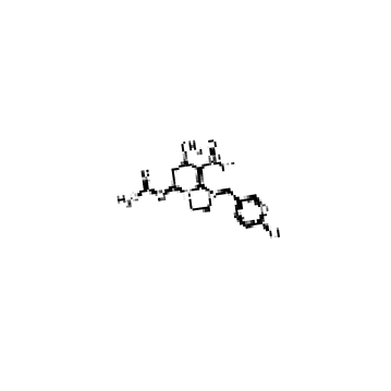 CC(=O)OC1CC(C)C([N+](=O)[O-])=C2N(Cc3ccc(Cl)nc3)CCN21